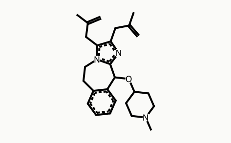 C=C(C)Cc1nc2n(c1CC(=C)C)CCc1ccccc1C2OC1CCN(C)CC1